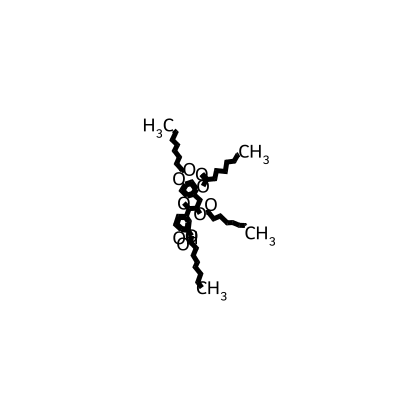 CCCCCCCC(=O)Oc1cc(OC(=O)CCCCCCC)c2c(c1)OC(c1ccc(O)c(OC(=O)CCCCCCC)c1)C(OC(=O)CCCCCCC)C2